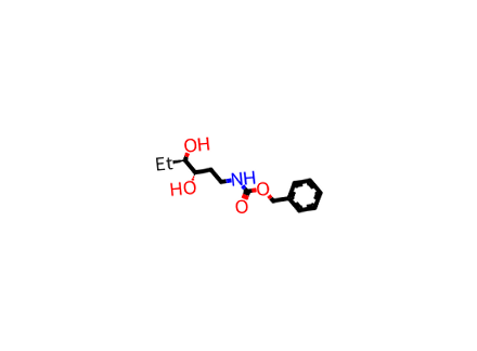 CC[C@@H](O)[C@@H](O)CCNC(=O)OCc1ccccc1